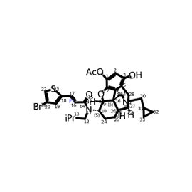 CC(=O)Oc1cc(O)c2c3c1O[C@H]1[C@@H](N(CC(C)C)C(=O)/C=C/c4cc(Br)cs4)CC[C@H]4[C@@H](C2)N(CC2CC2)CC[C@@]341